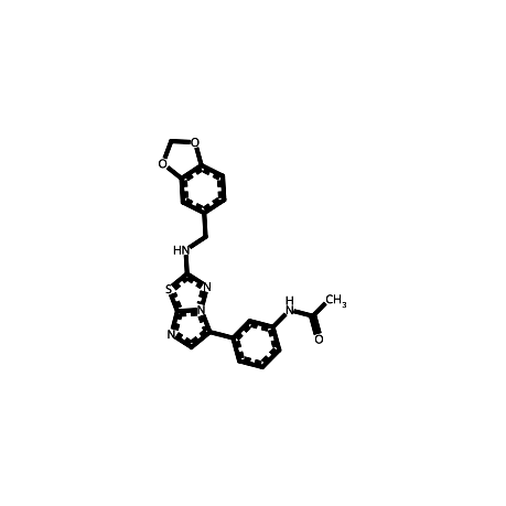 CC(=O)Nc1cccc(-c2cnc3sc(NCc4ccc5c(c4)OCO5)nn23)c1